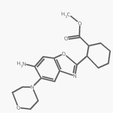 COC(=O)C1CCCCC1c1nc2cc(N3CCOCC3)c(N)cc2o1